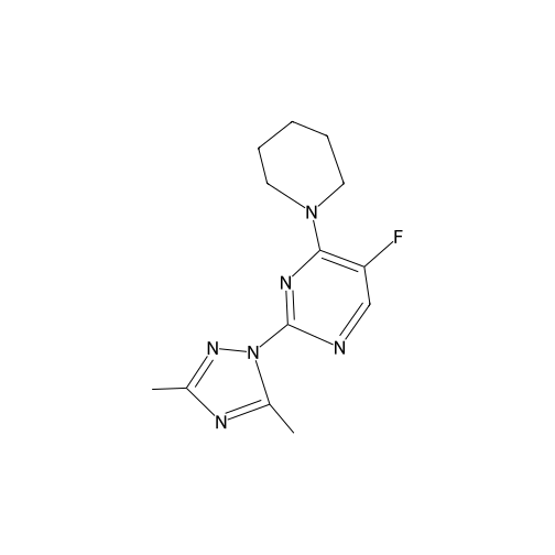 Cc1nc(C)n(-c2ncc(F)c(N3CCCCC3)n2)n1